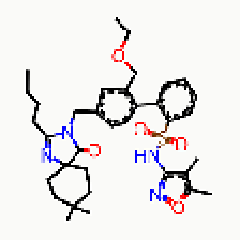 CCCCC1=NC2(CCC(C)(C)CC2)C(=O)N1Cc1ccc(-c2ccccc2S(=O)(=O)Nc2noc(C)c2C)c(COCC)c1